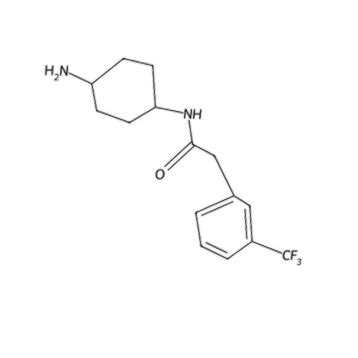 NC1CCC(NC(=O)Cc2cccc(C(F)(F)F)c2)CC1